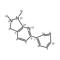 CN1Cc2ccc(-c3ccccc3)nc2N1C